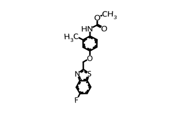 COC(=O)Nc1ccc(OCc2nc3cc(F)ccc3s2)cc1C